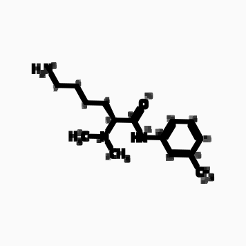 CN(C)[C@@H](CCCCN)C(=O)Nc1cccc(C(F)(F)F)c1